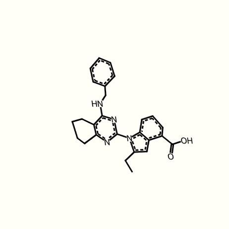 CCc1cc2c(C(=O)O)cccc2n1-c1nc2c(c(NCc3ccccc3)n1)CCCC2